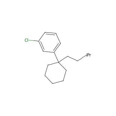 CC(C)CCC1(c2cccc(Cl)c2)CCCCC1